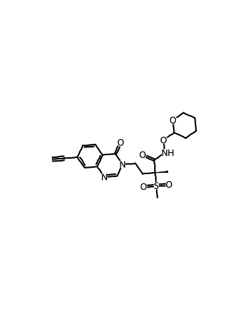 C#Cc1ccc2c(=O)n(CC[C@](C)(C(=O)NOC3CCCCO3)S(C)(=O)=O)cnc2c1